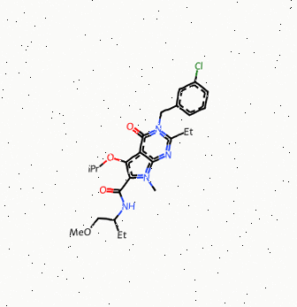 CCc1nc2c(c(OC(C)C)c(C(=O)NC(CC)COC)n2C)c(=O)n1Cc1cccc(Cl)c1